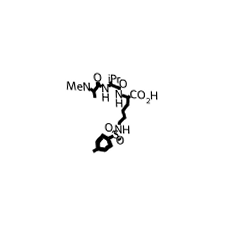 CNC(C)C(=O)NC(C(=O)NC(CCCCNS(=O)(=O)c1ccc(C)cc1)C(=O)O)C(C)C